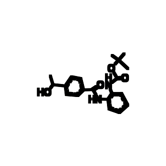 CC(O)c1ccc(C(=O)Nc2ccccc2NC(=O)OC(C)(C)C)cc1